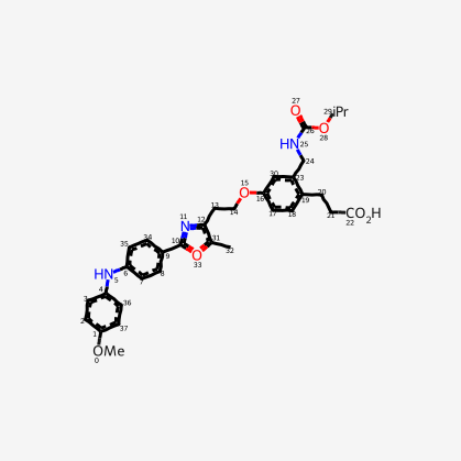 COc1ccc(Nc2ccc(-c3nc(CCOc4ccc(CCC(=O)O)c(CNC(=O)OC(C)C)c4)c(C)o3)cc2)cc1